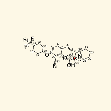 CC(c1ccc2ccc(O[C@H]3CC[C@@H](C(F)(F)F)CC3)c(C#N)c2c1)N1C2CCCC1CC(C(=O)O)C2